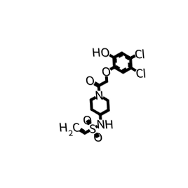 C=CS(=O)(=O)NC1CCN(C(=O)COc2cc(Cl)c(Cl)cc2O)CC1